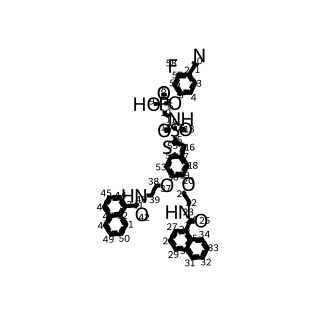 N#Cc1ccc(OP(=O)(O)CNS(=O)(=O)c2cc3cc(OCCNC(=O)c4cccc5ccccc45)c(OCCNC(=O)c4cccc5ccccc45)cc3s2)cc1F